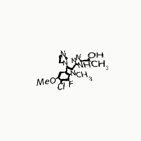 COc1cc2c(-n3ccnc3)c(-c3nnc(C(C)O)[nH]3)n(C)c2c(F)c1Cl